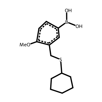 COc1ccc(B(O)O)cc1CSC1CCCCC1